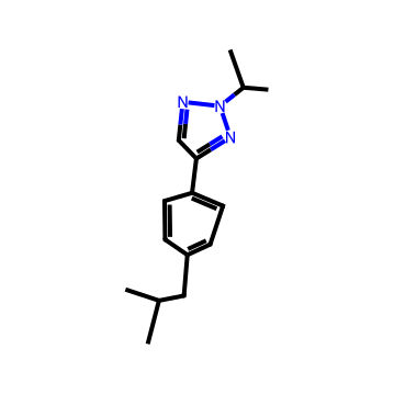 CC(C)Cc1ccc(-c2cnn(C(C)C)n2)cc1